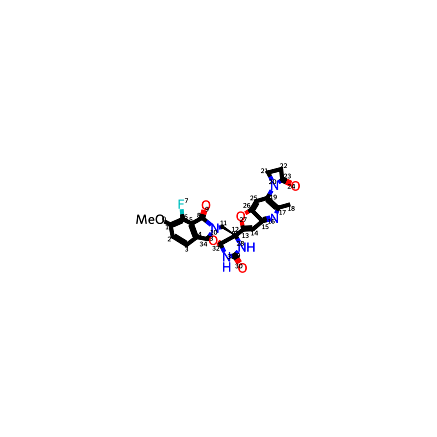 COc1ccc2c(c1F)C(=O)N(C[C@@]1(c3cc4nc(C)c(N5CCC5=O)cc4o3)NC(=O)NC1=O)C2